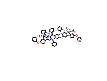 CC1(C)c2cc(Oc3ccccc3)ccc2-c2cc3c4c(c21)Sc1ccccc1B4c1cc2c(cc1S3)N(c1ccccc1)c1cc3c(c4c1B2c1ccccc1N4c1ccccc1)C(C)(C)c1cc(Oc2ccccc2)ccc1-3